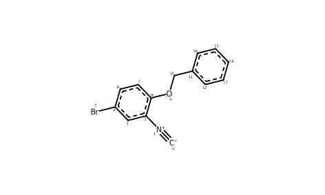 [C-]#[N+]c1cc(Br)ccc1OCc1ccccc1